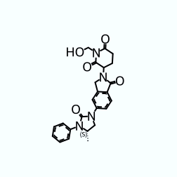 C[C@H]1CN(c2ccc3c(c2)CN(C2CCC(=O)N(CO)C2=O)C3=O)C(=O)N1c1ccccc1